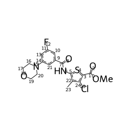 COC(=O)c1sc(NC(=O)c2cc(F)cc(N3CCOCC3)c2)c(C)c1Cl